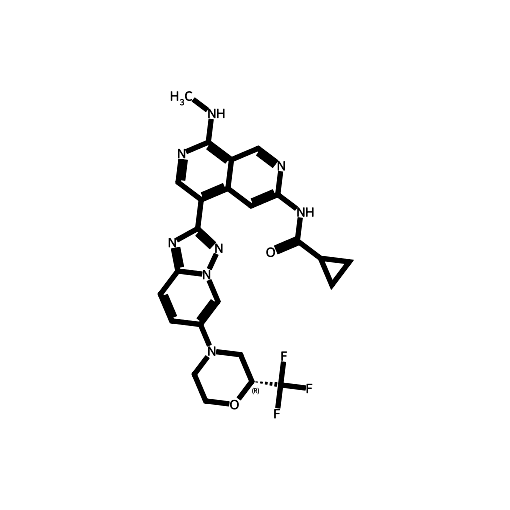 CNc1ncc(-c2nc3ccc(N4CCO[C@@H](C(F)(F)F)C4)cn3n2)c2cc(NC(=O)C3CC3)ncc12